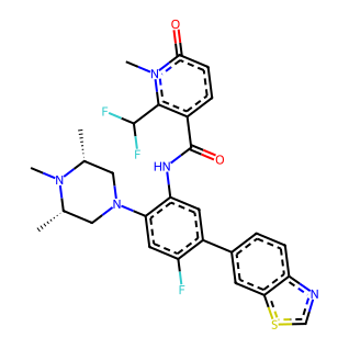 C[C@@H]1CN(c2cc(F)c(-c3ccc4ncsc4c3)cc2NC(=O)c2ccc(=O)n(C)c2C(F)F)C[C@H](C)N1C